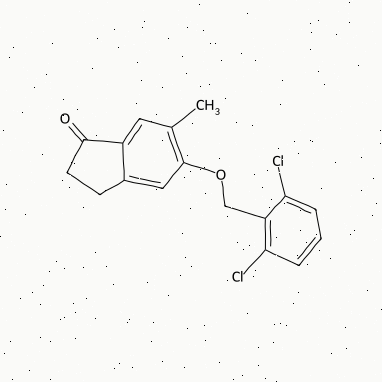 Cc1cc2c(cc1OCc1c(Cl)cccc1Cl)CCC2=O